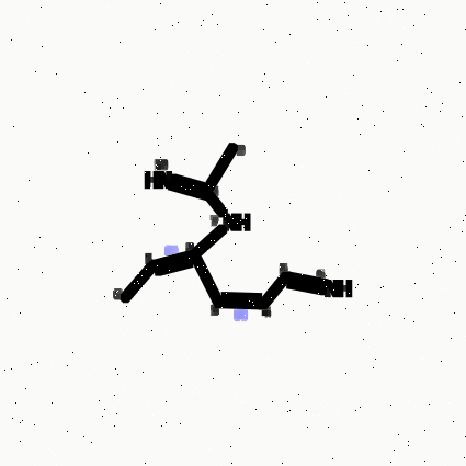 C/C=C(\C=C/C=N)NC(C)=N